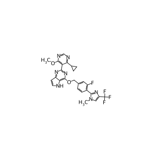 COc1ncnc(C2CC2)c1-c1nc(OCc2ccc(-c3nc(C(F)(F)F)cn3C)c(F)c2)c2[nH]ccc2n1